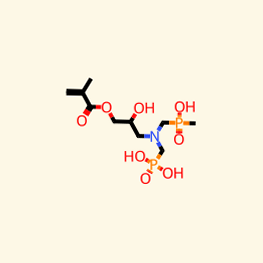 C=C(C)C(=O)OCC(O)CN(CP(C)(=O)O)CP(=O)(O)O